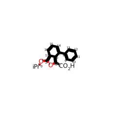 CC(C)Oc1oc(C(=O)O)c2c(-c3ccccc3)cccc12